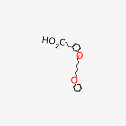 O=C(O)CCc1cccc(OCCCCCCOc2ccccc2)c1